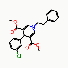 COC(=O)C1=CN(CCc2ccccc2)C=C(C(=O)OC)C1c1cccc(Cl)c1